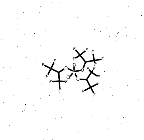 FC(F)(F)C(OP(Cl)(Cl)(OC(C(F)(F)F)C(F)(F)F)OC(C(F)(F)F)C(F)(F)F)C(F)(F)F